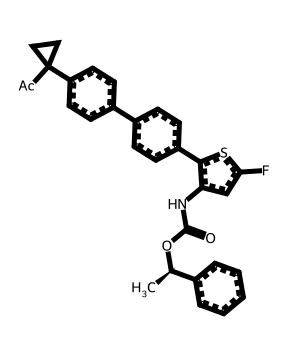 CC(=O)C1(c2ccc(-c3ccc(-c4sc(F)cc4NC(=O)O[C@H](C)c4ccccc4)cc3)cc2)CC1